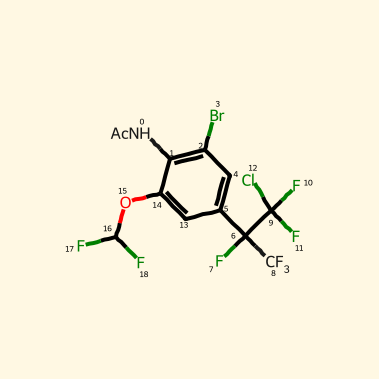 CC(=O)Nc1c(Br)cc(C(F)(C(F)(F)F)C(F)(F)Cl)cc1OC(F)F